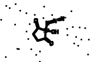 [N-]=[N+]=N[N+]1(O)C(=O)CCC1=O